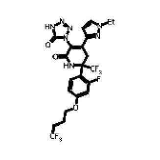 CCn1ccc(C2=C(n3nn[nH]c3=O)C(=O)NC(c3ccc(OCCCC(F)(F)F)cc3F)(C(F)(F)F)C2)n1